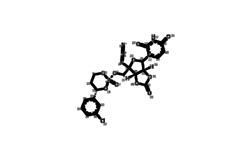 [N-]=[N+]=N[C@]1(CO[P@@]2(=O)OCC[C@@H](c3cccc(Cl)c3)O2)OC(n2ccc(=O)[nH]c2=O)[C@@H]2OC(=O)O[C@@H]21